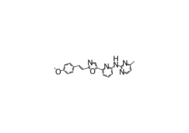 COc1ccc(C=Cc2ncc(-c3cccc(Nc4nccc(C)n4)n3)o2)cc1